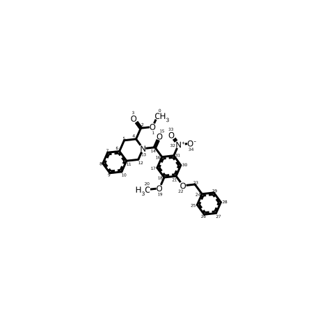 COC(=O)C1Cc2ccccc2CN1C(=O)c1cc(OC)c(OCc2ccccc2)cc1[N+](=O)[O-]